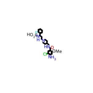 COc1cc(N)c(Cl)cc1C(=O)NCC1CCN(CCC(NC(=O)O)c2ccccc2F)CC1